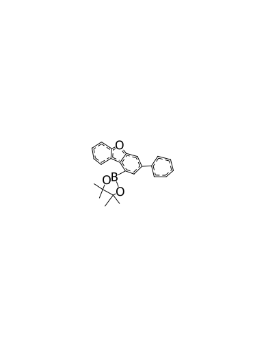 CC1(C)OB(c2cc(-c3ccccc3)cc3oc4ccccc4c23)OC1(C)C